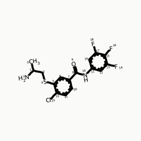 CC(N)CSc1cc(C(=O)Nc2cc(F)c(F)c(F)c2)ccc1Cl